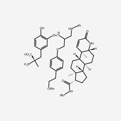 CC(C)(C)NC(=O)[C@H]1CC[C@H]2[C@@H]3CC[C@H]4NC(=O)C=C[C@]4(C)[C@H]3CC[C@]12C.COCCc1ccc(OCC(O)CNC(C)C)cc1.C[C@](N)(Cc1ccc(O)c(O)c1)C(=O)O